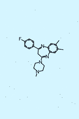 Cc1cc2c(cc1C)N=C(N1CCN(C)CC1)CC(c1ccc(F)cc1)=N2